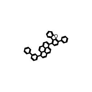 c1ccc(-c2cccc(-c3ccc4ccc5c(-c6ccc(-c7ccccc7)c7oc8ccccc8c67)ccc6ccc3c4c65)c2)cc1